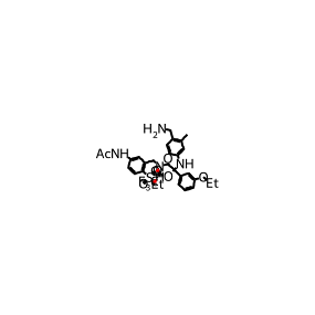 CCOc1cccc(C(Nc2ccc(CN)c(C)c2)(OC(=O)C(F)(F)F)C(=O)NCc2cc(NC(C)=O)ccc2S(=O)(=O)CC)c1